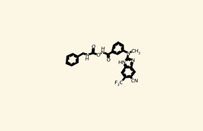 CN(c1cccc(C(=O)NOC(=O)NCc2ccccc2)c1)c1nc2cc(C#N)c(C(F)(F)F)cc2[nH]1